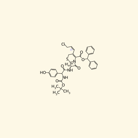 CC(C)(C)OC(=O)NC(C(=O)N[C@@H]1C(=O)N2C(C(=O)OC(c3ccccc3)c3ccccc3)=C(/C=C\CCl)CS[C@H]12)c1ccc(O)cc1